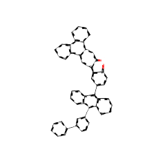 c1ccc(-c2cccc(-c3c4ccccc4c(-c4ccc5oc6cc7c8ccccc8c8ccccc8c7cc6c5c4)c4ccccc34)c2)cc1